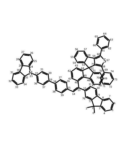 CC1(C)c2ccccc2-c2ccc(/C(=C/c3ccc(-c4ccc(-n5c6ccccc6c6ccccc65)cc4)cc3)c3cccc4c3-c3ccccc3C43c4ccccc4-c4c(-c5ccccc5)sc(-c5ccccc5)c43)cc21